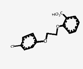 O=C(O)c1ccccc1OCCOc1ccc(Cl)cc1